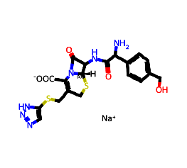 NC(C(=O)NC1C(=O)N2C(C(=O)[O-])=C(CSc3cnn[nH]3)CS[C@@H]12)c1ccc(CO)cc1.[Na+]